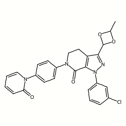 CC1OC(c2nn(-c3cccc(Cl)c3)c3c2CCN(c2ccc(-n4ccccc4=O)cc2)C3=O)O1